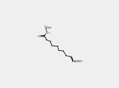 CCCCCCCCC=CCCCCCCCC(=O)OCCCCCCCC